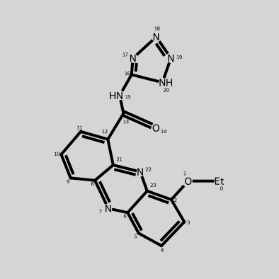 CCOc1cccc2nc3cccc(C(=O)Nc4nnn[nH]4)c3nc12